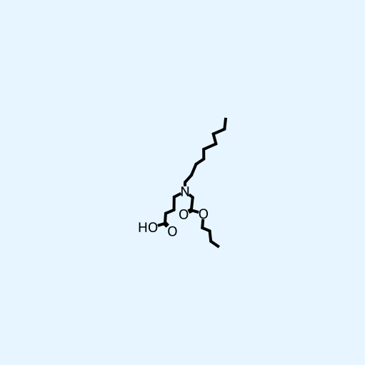 CCCCCCCCCN(CCCC(=O)O)CC(=O)OCCCC